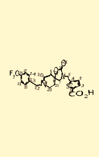 O=C(O)c1ccc(CN2CC3(CCN(Cc4ccc(C(F)(F)F)cc4)CC3)OC2=O)s1